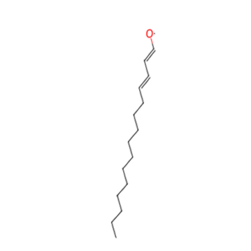 CCCCCCCCCCC/C=C/C=C/[O]